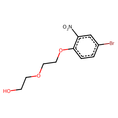 O=[N+]([O-])c1cc(Br)ccc1OCCOCCO